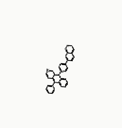 c1ccc(-c2c3ccccc3c(-c3ccc(-c4ccc5ccccc5c4)cc3)c3cnccc23)cc1